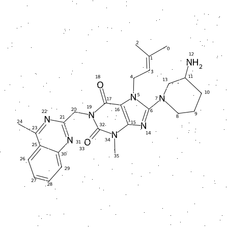 CC(C)=CCn1c(N2CCCC(N)C2)nc2c1c(=O)n(Cc1nc(C)c3ccccc3n1)c(=O)n2C